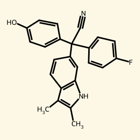 Cc1[nH]c2cc(C(C#N)(c3ccc(O)cc3)c3ccc(F)cc3)ccc2c1C